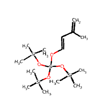 C=C(C)C=CO[Si](O[Si](C)(C)C)(O[Si](C)(C)C)O[Si](C)(C)C